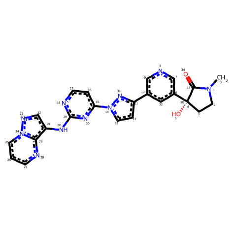 CN1CC[C@@](O)(c2cncc(-c3ccn(-c4ccnc(Nc5cnn6cccnc56)n4)n3)c2)C1=O